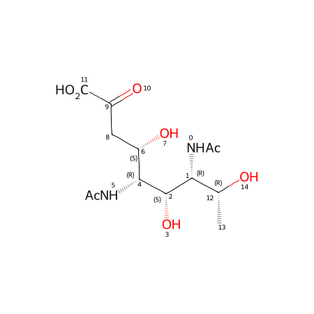 CC(=O)N[C@@H]([C@H](O)[C@H](NC(C)=O)[C@@H](O)CC(=O)C(=O)O)[C@@H](C)O